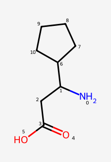 NC(CC(=O)O)C1CCCC1